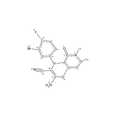 Cc1cc2c(c(=O)n1C)C(c1ccc(F)c(Br)c1)C(C#N)=C(N)O2